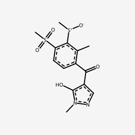 Cc1c(C(=O)c2cnn(C)c2O)ccc(S(C)(=O)=O)c1[S+](C)[O-]